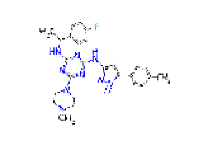 Cc1ccc(-c2cc(Nc3nc(NC(C)c4ccc(F)cc4)nc(N4CCN(C)CC4)n3)n[nH]2)cc1